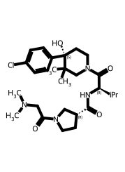 CC(C)[C@@H](NC(=O)[C@@H]1CCN(C(=O)CN(C)C)C1)C(=O)N1CC[C@](O)(c2ccc(Cl)cc2)C(C)(C)C1